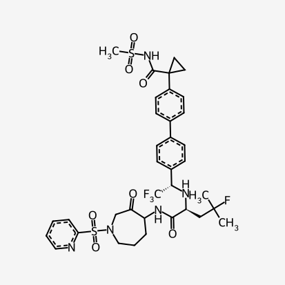 CC(C)(F)C[C@H](N[C@@H](c1ccc(-c2ccc(C3(C(=O)NS(C)(=O)=O)CC3)cc2)cc1)C(F)(F)F)C(=O)NC1CCCN(S(=O)(=O)c2ccccn2)CC1=O